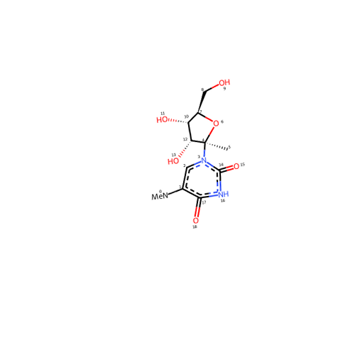 CNc1cn([C@]2(C)O[C@H](CO)[C@@H](O)[C@H]2O)c(=O)[nH]c1=O